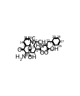 CC(C)CC(CP(=O)(O)C(N)C(=O)c1cccnc1)C(=O)N[C@@H](Cc1ccccc1)C(=O)O